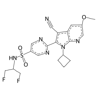 COc1cnc2c(c1)c(C#N)c(-c1ncc(S(=O)(=O)NC(CF)CF)cn1)n2C1CCC1